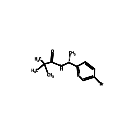 C[C@@H](NC(=O)C(C)(C)C)c1ccc(Br)cn1